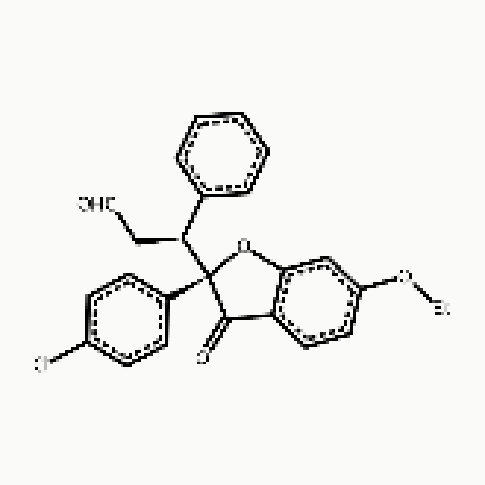 CCOc1ccc2c(c1)O[C@@](c1ccc(Cl)cc1)([C@@H](CC=O)c1ccccc1)C2=O